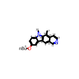 CCCCOc1ccc2c(c1)c1cc3cnccc3c(C)c1n2C